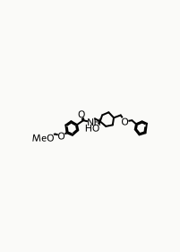 COCOc1ccc(C(=O)NCC2(O)CCC(COCc3ccccc3)CC2)cc1